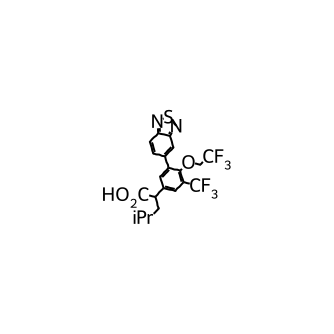 CC(C)CC(C(=O)O)c1cc(-c2ccc3nsnc3c2)c(OCC(F)(F)F)c(C(F)(F)F)c1